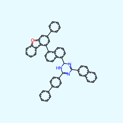 c1ccc(-c2ccc(C3=NC(c4ccc5ccccc5c4)=NC(c4cccc5c(-c6cc(-c7ccccc7)cc7oc8ccccc8c67)cccc45)N3)cc2)cc1